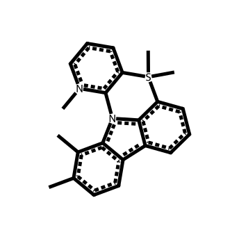 Cc1ccc2c3cccc4c3n(c2c1C)-c1c(ccc[n+]1C)S4(C)C